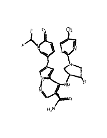 CCC1CN(c2ncc(C#N)cn2)CC1Nc1c(C(N)=O)cnn2cc(-c3ccc(=O)n(C(F)F)c3)cc12